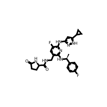 C[C@H](Nc1nc(Nc2cc(C3CC3)[nH]n2)c(F)cc1CNC(=O)C1CCC(=O)N1)c1ccc(F)cc1